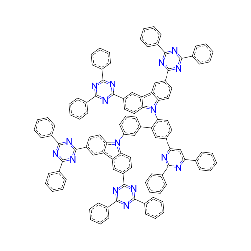 c1ccc(-c2cc(-c3ccc(-n4c5ccc(-c6nc(-c7ccccc7)nc(-c7ccccc7)n6)cc5c5cc(-c6nc(-c7ccccc7)nc(-c7ccccc7)n6)ccc54)c(-c4cccc(-n5c6ccc(-c7nc(-c8ccccc8)nc(-c8ccccc8)n7)cc6c6cc(-c7nc(-c8ccccc8)nc(-c8ccccc8)n7)ccc65)c4)c3)nc(-c3ccccc3)n2)cc1